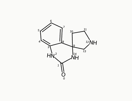 O=C1Nc2ccccc2C2(CCNC2)N1